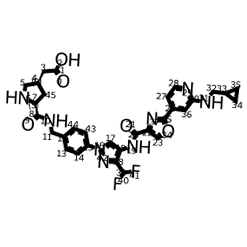 O=C(O)C[C@@H]1CN[C@H](C(=O)NCc2ccc(-n3cc(NC(=O)c4coc(-c5ccnc(NCC6CC6)c5)n4)c(C(F)F)n3)cc2)C1